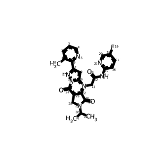 Cc1cccnc1-c1cc2n(CC(=O)Nc3ccc(F)cn3)c3c(c(=O)n2n1)CN(C(C)C)C3=O